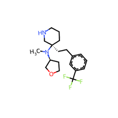 CN([C@H]1CCOC1)[C@]1(CCc2cccc(C(F)(F)F)c2)CCCNC1